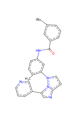 Cc1ccc(NC(=O)c2cccc(C(C)(C)C)c2)cc1-n1ccc2ncc(-c3cccnc3)n21